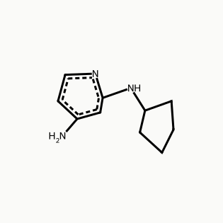 Nc1ccnc(NC2CCCC2)c1